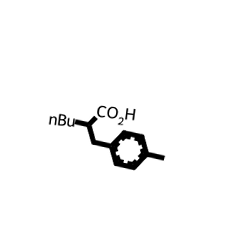 CCCCC(Cc1ccc(C)cc1)C(=O)O